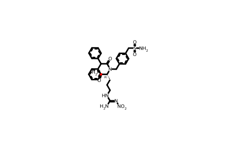 NC(=O)[C@@H](CCCNC(N)=N[N+](=O)[O-])N(Cc1ccc(CS(N)(=O)=O)cc1)C(=O)C(c1ccccc1)c1ccccc1